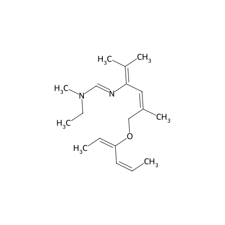 C/C=C\C(=C/C)OC/C(C)=C\C(/N=C/N(C)CC)=C(C)C